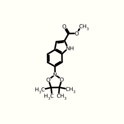 COC(=O)c1cc2ccc(N3OC(C)(C)C(C)(C)O3)cc2[nH]1